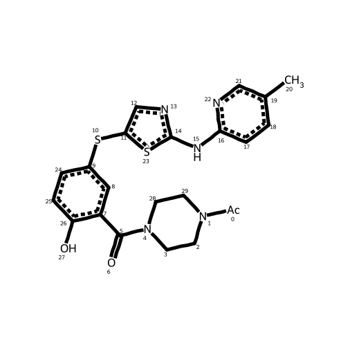 CC(=O)N1CCN(C(=O)c2cc(Sc3cnc(Nc4ccc(C)cn4)s3)ccc2O)CC1